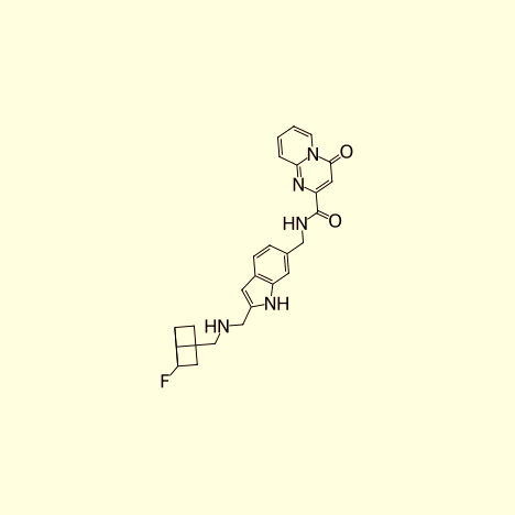 O=C(NCc1ccc2cc(CNCC34CC5C3C5(F)C4)[nH]c2c1)c1cc(=O)n2ccccc2n1